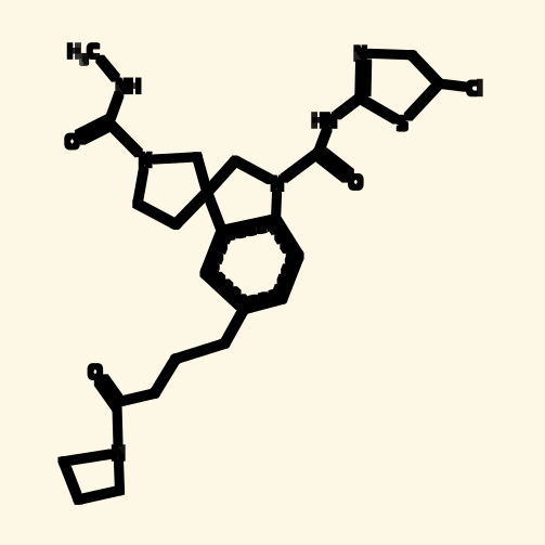 CNC(=O)N1CCC2(C1)CN(C(=O)NC1=NCC(Cl)S1)c1ccc(CCCC(=O)N3CCC3)cc12